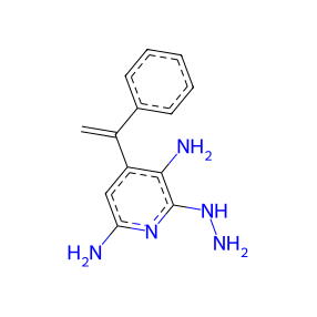 C=C(c1ccccc1)c1cc(N)nc(NN)c1N